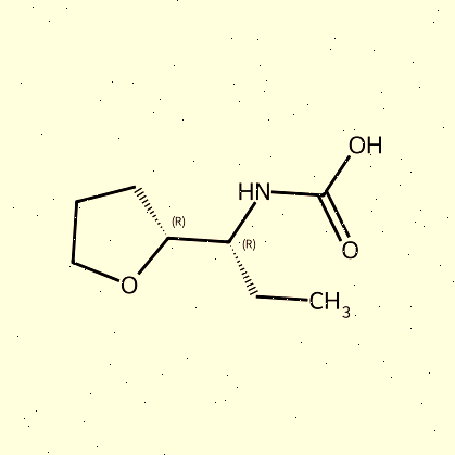 CC[C@@H](NC(=O)O)[C@H]1CCCO1